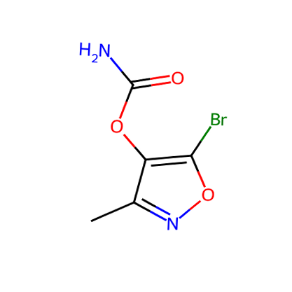 Cc1noc(Br)c1OC(N)=O